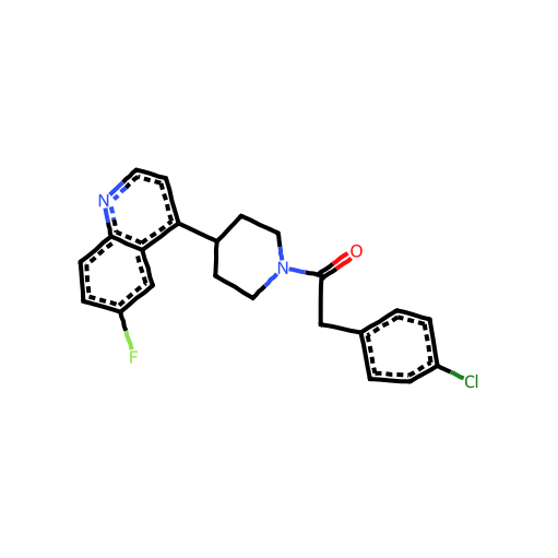 O=C(Cc1ccc(Cl)cc1)N1CCC(c2ccnc3ccc(F)cc23)CC1